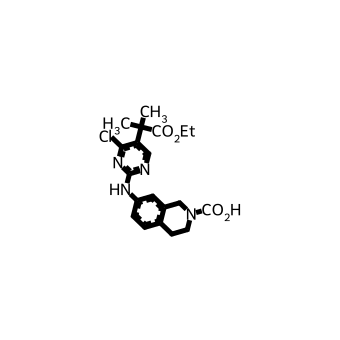 CCOC(=O)C(C)(C)c1cnc(Nc2ccc3c(c2)CN(C(=O)O)CC3)nc1Cl